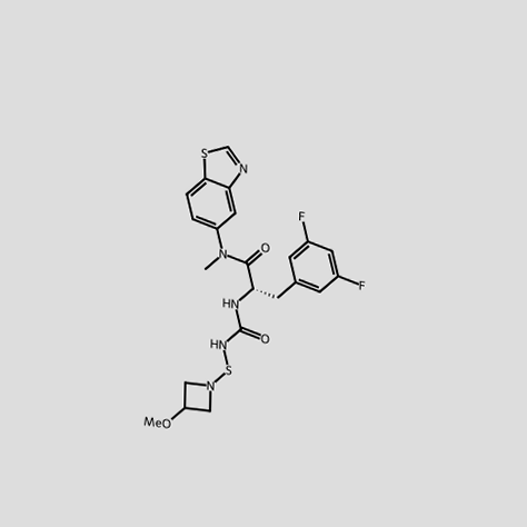 COC1CN(SNC(=O)N[C@@H](Cc2cc(F)cc(F)c2)C(=O)N(C)c2ccc3scnc3c2)C1